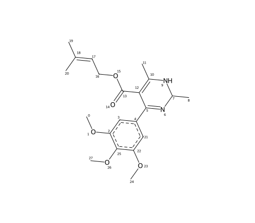 COc1cc(C2=NC(C)NC(C)=C2C(=O)OCC=C(C)C)cc(OC)c1OC